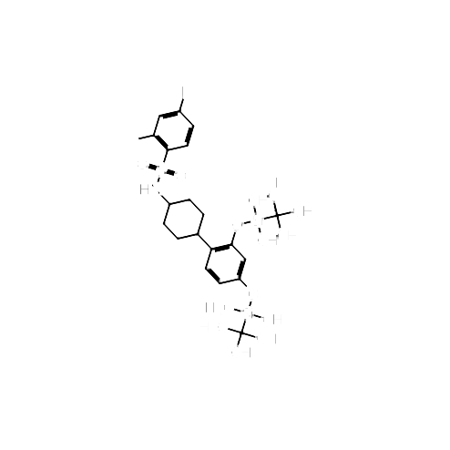 CC(C)(C)[Si](C)(C)Oc1ccc(C2CCC(NS(=O)(=O)c3ccc(F)cc3F)CC2)c(O[Si](C)(C)C(C)(C)C)c1